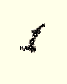 COC1=CC(N2CCN(CC[C@H]3CC[C@H](NC(=O)CCCC#N)CC3)CC2)=CC(C(F)(F)F)C1